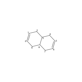 C1=CCC2CC=CCC2C1